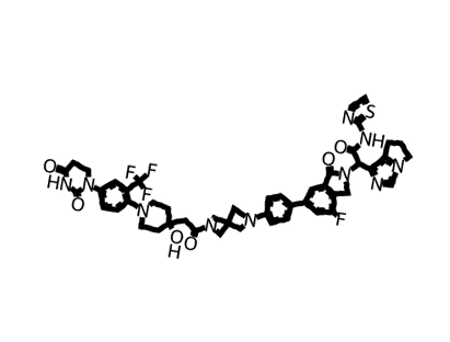 O=C1CCN(c2ccc(N3CCC(O)(CC(=O)N4CC5(C4)CN(c4ccc(-c6cc(F)c7c(c6)C(=O)N(C(C(=O)Nc6nccs6)c6ncn8c6CCC8)C7)cc4)C5)CC3)c(C(F)(F)F)c2)C(=O)N1